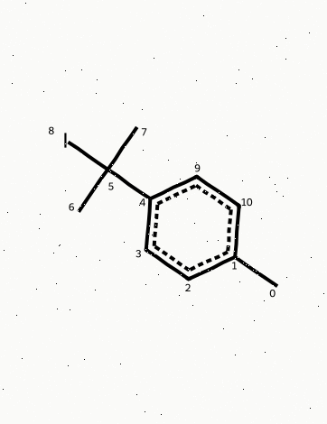 Cc1ccc(C(C)(C)I)cc1